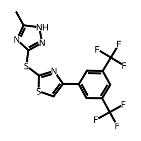 Cc1nc(Sc2nc(-c3cc(C(F)(F)F)cc(C(F)(F)F)c3)cs2)n[nH]1